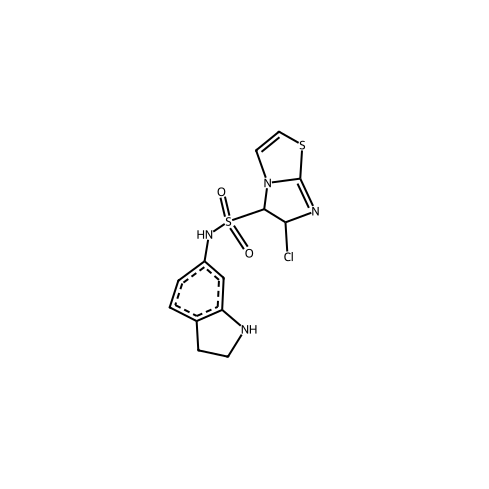 O=S(=O)(Nc1ccc2c(c1)NCC2)C1C(Cl)N=C2SC=CN21